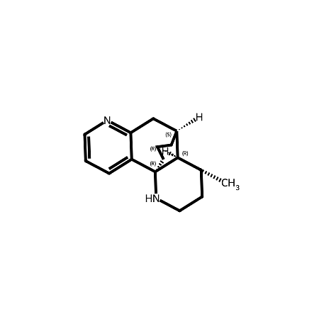 C[C@@H]1C[C@H]2Cc3ncccc3[C@]3(C1)NCCC[C@H]23